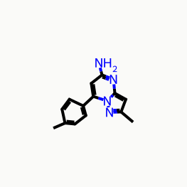 Cc1ccc(-c2cc(N)nc3cc(C)nn23)cc1